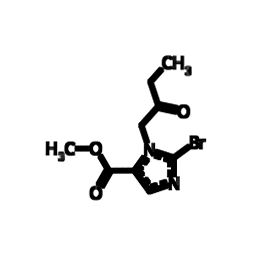 CCC(=O)Cn1c(C(=O)OC)cnc1Br